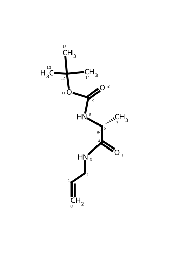 C=CCNC(=O)[C@@H](C)NC(=O)OC(C)(C)C